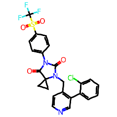 O=C1N(c2ccc(S(=O)(=O)C(F)(F)F)cc2)C(=O)C2(CC2)N1Cc1ccncc1-c1ccccc1Cl